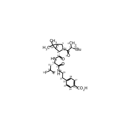 C[C@H](C(=O)N1CC2C([C@H]1C(=O)N[C@@H](CC(F)F)C(=O)NCCc1ccc(C(=O)O)cc1)C2(C)C)C(C)(C)C